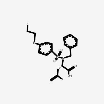 C=C(F)C[C@@H](C(=O)O)N(Cc1ccccc1)S(=O)(=O)c1ccc(OCCF)cc1